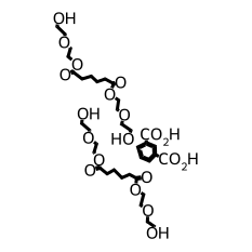 O=C(CCCCC(=O)OCCOCCO)OCCOCCO.O=C(CCCCC(=O)OCCOCCO)OCCOCCO.O=C(O)c1cccc(C(=O)O)c1